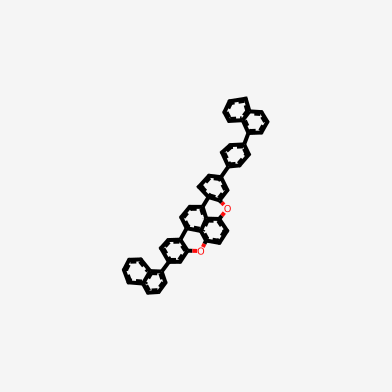 c1ccc2c(-c3ccc(-c4ccc5c(c4)Oc4ccc6c7c(ccc-5c47)-c4ccc(-c5cccc7ccccc57)cc4O6)cc3)cccc2c1